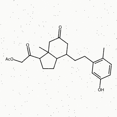 CC(=O)OCC(=O)C1CCC2C(CCc3cc(O)ccc3C)CC(=O)CC12C